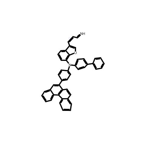 N=C/C=C\c1coc2c(N(c3ccc(-c4ccccc4)cc3)c3ccc(-c4cc5ccccc5c5c4ccc4ccccc45)cc3)cccc12